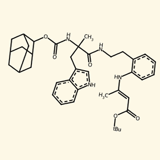 CC(=CC(=O)OC(C)(C)C)Nc1ccccc1CCNC(=O)C(C)(Cc1c[nH]c2ccccc12)NC(=O)OC1C2CC3CC(C2)CC1C3